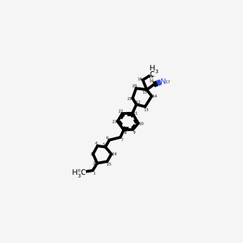 CCC1CCC(CCc2ccc(C3CCC(C#N)(CC)CC3)cc2)CC1